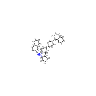 c1ccc2c(-c3ccc(-c4cc(-c5cccc6ccccc56)c5[nH]c6ccccc6c5c4)cc3)cccc2c1